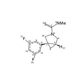 CNC(=S)N1C[C@@H]2C[C@]2(c2cc(F)cc(F)c2)C1